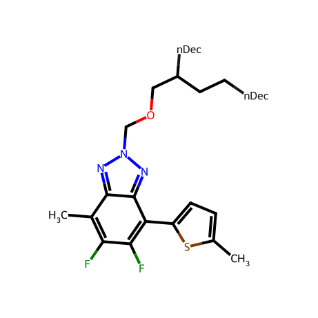 CCCCCCCCCCCCC(CCCCCCCCCC)COCn1nc2c(C)c(F)c(F)c(-c3ccc(C)s3)c2n1